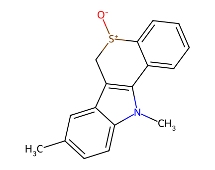 Cc1ccc2c(c1)c1c(n2C)-c2ccccc2[S+]([O-])C1